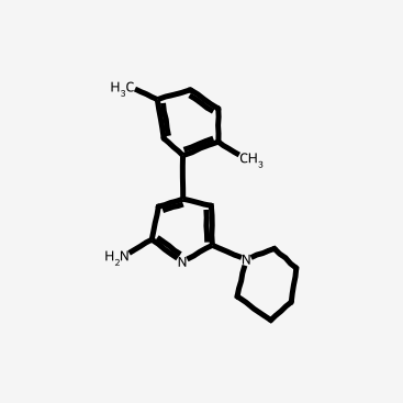 Cc1ccc(C)c(-c2cc(N)nc(N3CCCCC3)c2)c1